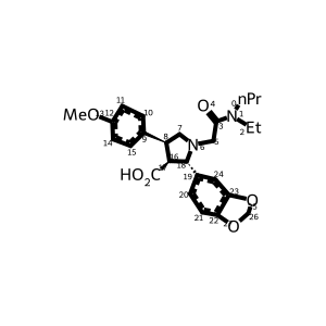 CCCN(CC)C(=O)CN1C[C@H](c2ccc(OC)cc2)[C@H](C(=O)O)[C@H]1c1ccc2c(c1)OCO2